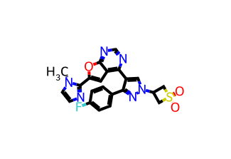 Cn1ccnc1-c1cc2c(-c3cn(C4CS(=O)(=O)C4)nc3-c3ccc(F)cc3)ncnc2o1